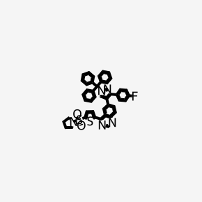 O=S(=O)(c1ccc(-c2ncnc3ccc(-c4cn(C(c5ccccc5)(c5ccccc5)c5ccccc5)nc4-c4ccc(F)cc4)cc23)s1)N1CCCC1